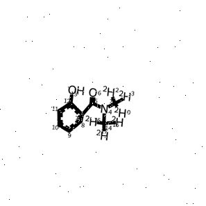 [2H]C([2H])([2H])N(C(=O)c1ccccc1O)C([2H])([2H])[2H]